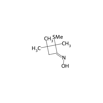 CSC1(C)C(=NO)CC1(C)C